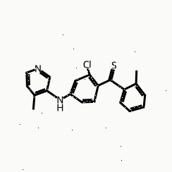 Cc1ccncc1Nc1ccc(C(=S)c2ccccc2C)c(Cl)c1